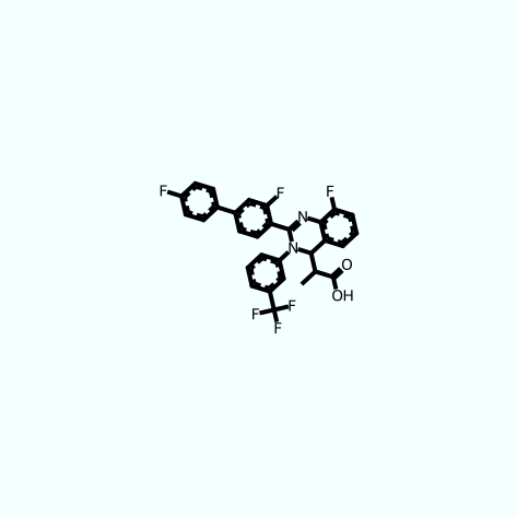 CC(C(=O)O)C1c2cccc(F)c2N=C(c2ccc(-c3ccc(F)cc3)cc2F)N1c1cccc(C(F)(F)F)c1